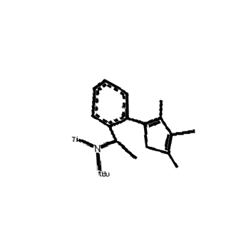 CC1=C(C)C(C)=C(c2ccccc2C(C)[N]([Ti])C(C)(C)C)C1